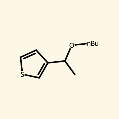 CCCCOC(C)c1ccsc1